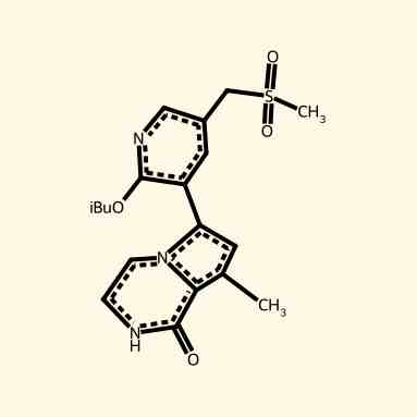 Cc1cc(-c2cc(CS(C)(=O)=O)cnc2OCC(C)C)n2cc[nH]c(=O)c12